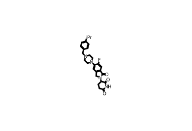 CC(C)c1ccc(CN2CCN(c3cc4c(cc3F)C(=O)N(C3CCC(=O)NC3=O)C4)CC2)cc1